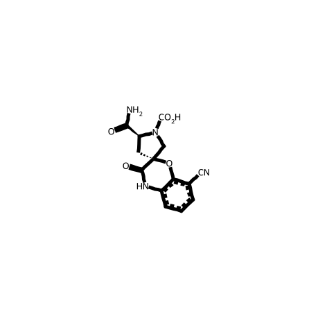 N#Cc1cccc2c1O[C@@]1(C[C@@H](C(N)=O)N(C(=O)O)C1)C(=O)N2